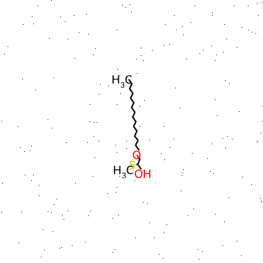 CCCCCCCCCCCCCCCCOCC(CO)SC